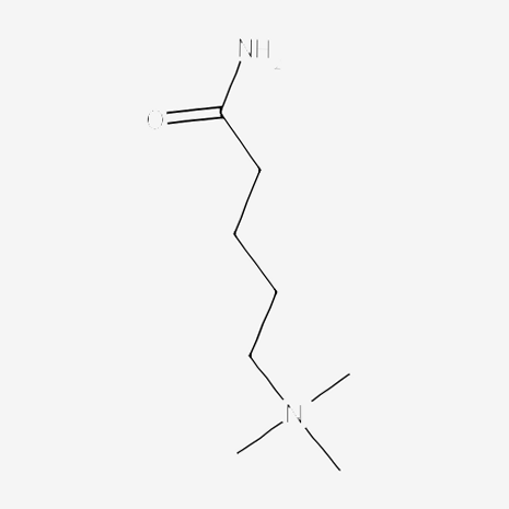 C[N+](C)(C)CCCCC(N)=O